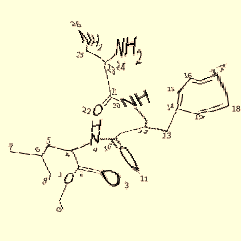 COC(=O)C(CC(C)C)NC(=O)C(Cc1ccccc1)NC(=O)C(N)CN